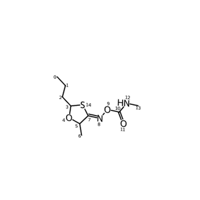 CCCC1OC(C)C(=NOC(=O)NC)S1